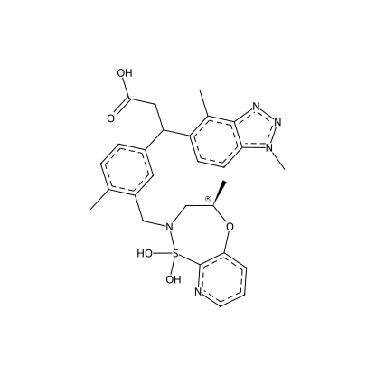 Cc1ccc(C(CC(=O)O)c2ccc3c(nnn3C)c2C)cc1CN1C[C@@H](C)Oc2cccnc2S1(O)O